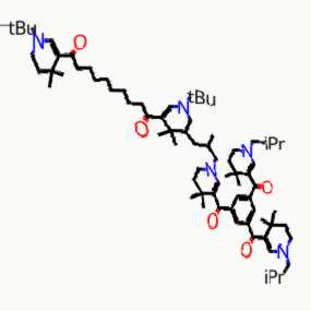 CC(C)CN1C=C(C(=O)c2cc(C(=O)C3=CN(CC(C)C)CCC3(C)C)cc(C(=O)C3=CN(CC(C)CC4CN(C(C)(C)C)C=C(C(=O)CCCCCCCCC(=O)C5=CN(C(C)(C)C)CCC5(C)C)C4(C)C)CCC3(C)C)c2)C(C)(C)CC1